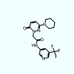 O=C(Cn1nc(N2CCCCC2)ccc1=O)Nc1cncc(C(F)(F)F)c1